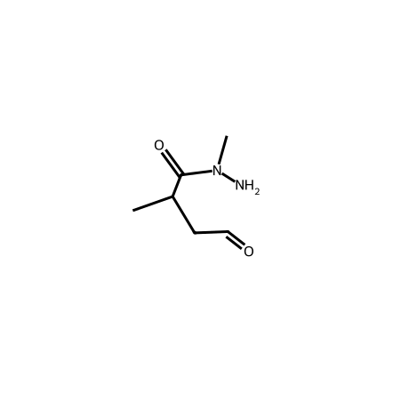 CC(CC=O)C(=O)N(C)N